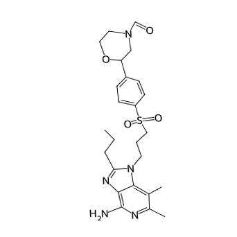 CCCc1nc2c(N)nc(C)c(C)c2n1CCCS(=O)(=O)c1ccc(C2CN(C=O)CCO2)cc1